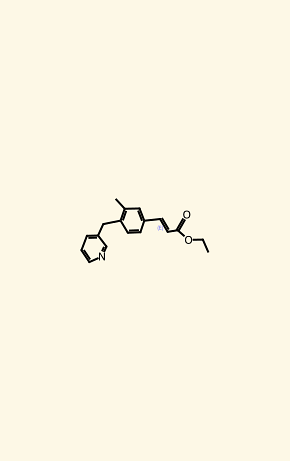 CCOC(=O)/C=C/c1ccc(Cc2cccnc2)c(C)c1